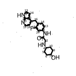 O=C(CN[C@H]1CC[C@H](O)CC1)Nc1ccc(Cc2ccnc3[nH]ccc23)c(F)c1